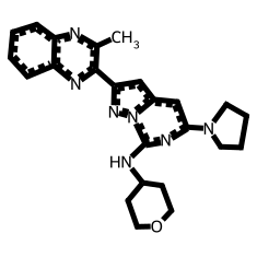 Cc1nc2ccccc2nc1-c1cc2cc(N3CCCC3)nc(NC3CCOCC3)n2n1